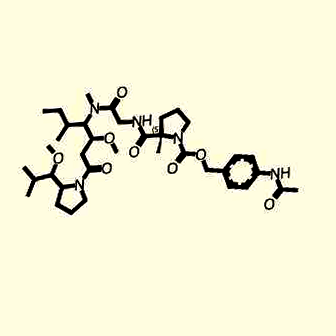 CCC(C)C(C(CC(=O)N1CCCC1C(OC)C(C)C)OC)N(C)C(=O)CNC(=O)[C@]1(C)CCCN1C(=O)OCc1ccc(NC(C)=O)cc1